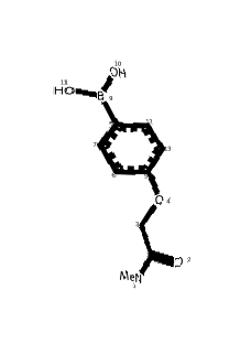 CNC(=O)COc1ccc(B(O)O)cc1